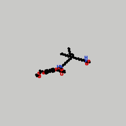 C=C(C)C(=O)OCC(C)COc1ccc(C(C)(C)c2ccc(OCC(COC(=O)C(=C)C)OC(=O)NCCCCCCCCCC3C(CCCCCCCCCNC(=O)OC)CCC(CCCCC)C3CCCCCCC)cc2)cc1